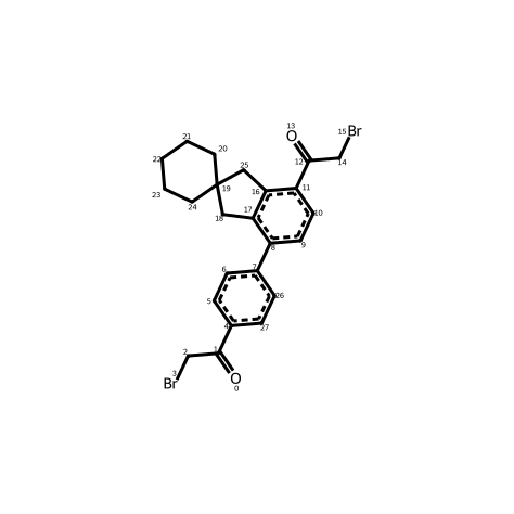 O=C(CBr)c1ccc(-c2ccc(C(=O)CBr)c3c2CC2(CCCCC2)C3)cc1